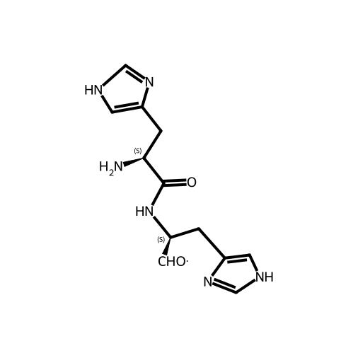 N[C@@H](Cc1c[nH]cn1)C(=O)N[C@H]([C]=O)Cc1c[nH]cn1